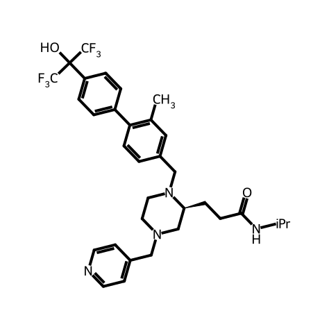 Cc1cc(CN2CCN(Cc3ccncc3)C[C@@H]2CCC(=O)NC(C)C)ccc1-c1ccc(C(O)(C(F)(F)F)C(F)(F)F)cc1